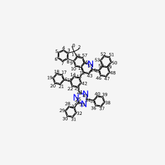 CC1(C)c2ccccc2-c2cc3c(-c4cc(-c5ccccc5)cc(-c5nc(-c6ccccc6)nc(-c6ccccc6)n5)c4)cc(-c4cccc5ccccc45)nc3cc21